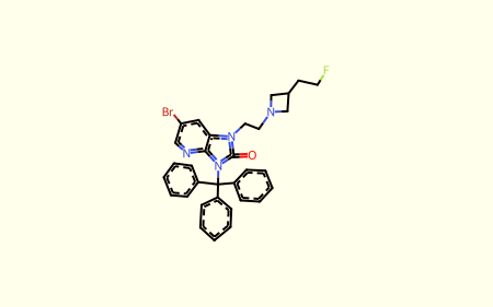 O=c1n(CCN2CC(CCF)C2)c2cc(Br)cnc2n1C(c1ccccc1)(c1ccccc1)c1ccccc1